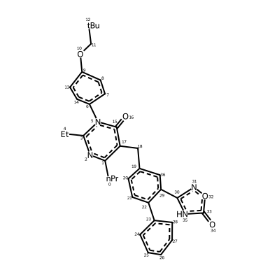 CCCc1nc(CC)n(-c2ccc(OCC(C)(C)C)cc2)c(=O)c1Cc1ccc(-c2ccccc2)c(-c2noc(=O)[nH]2)c1